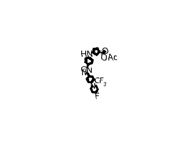 CC(=O)OC(=O)[C@@H]1CC[C@@H](Nc2ccc(-c3nc(-c4ccc(N5CCC(F)CC5)c(C(F)(F)F)c4)no3)cc2)C1